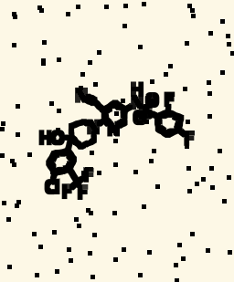 N#Cc1cc(NS(=O)(=O)c2ccc(F)cc2F)cnc1N1CCC(O)(c2ccc(Cl)c(C(F)(F)F)c2)CC1